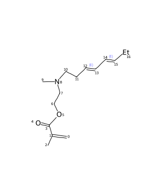 C=C(C)C(=O)OCCN(C)CC/C=C/C=C/CC